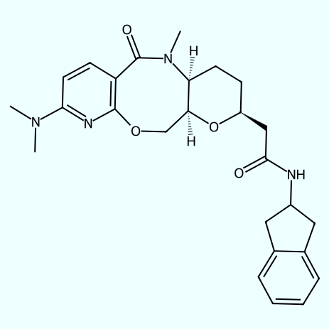 CN(C)c1ccc2c(n1)OC[C@@H]1O[C@H](CC(=O)NC3Cc4ccccc4C3)CC[C@@H]1N(C)C2=O